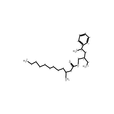 CCCCCCCCCC(C)CC(=O)OCC(CC)CC(C)c1ccccc1